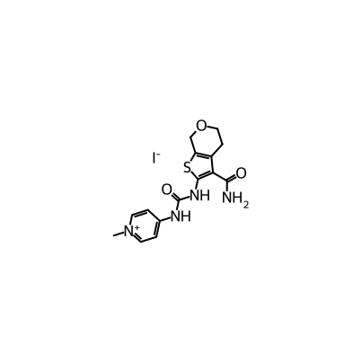 C[n+]1ccc(NC(=O)Nc2sc3c(c2C(N)=O)CCOC3)cc1.[I-]